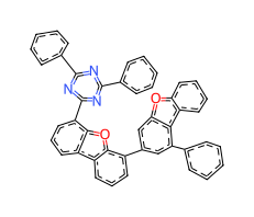 c1ccc(-c2nc(-c3ccccc3)nc(-c3cccc4c3oc3c(-c5cc(-c6ccccc6)c6c(c5)oc5ccccc56)cccc34)n2)cc1